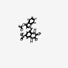 CC(=O)Oc1cn(Cc2cc([N+](=O)[O-])cc3[nH]c(=O)c(=O)[nH]c23)c2ccccc12